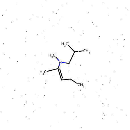 CC/C=C(/C)N(C)CC(C)C